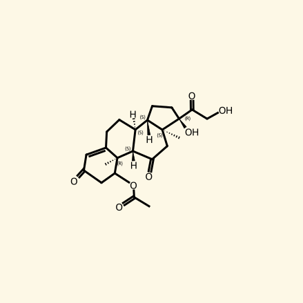 CC(=O)OC1CC(=O)C=C2CC[C@H]3[C@@H]4CC[C@](O)(C(=O)CO)[C@@]4(C)CC(=O)[C@@H]3[C@]21C